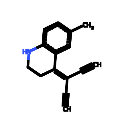 C#CC(C#C)=C1CCNc2ccc(C)cc21